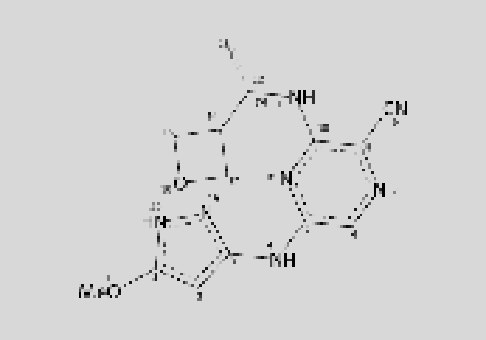 COc1cc(Nc2cnc(C#N)c(N[C@@H](C)C3COC3)n2)n[nH]1